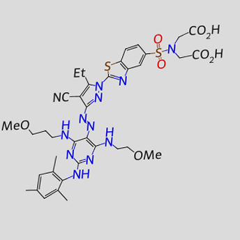 CCc1c(C#N)c(N=Nc2c(NCCCOC)nc(Nc3c(C)cc(C)cc3C)nc2NCCOC)nn1-c1nc2cc(S(=O)(=O)N(CC(=O)O)CC(=O)O)ccc2s1